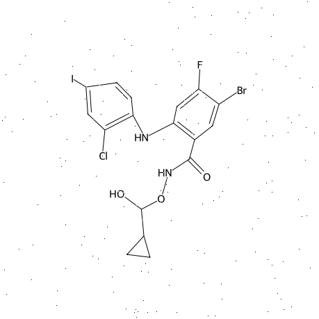 O=C(NOC(O)C1CC1)c1cc(Br)c(F)cc1Nc1ccc(I)cc1Cl